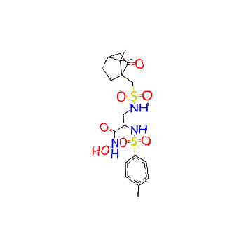 Cc1ccc(S(=O)(=O)NC(CNS(=O)(=O)CC23CCC(CC2=O)C3(C)C)C(=O)NO)cc1